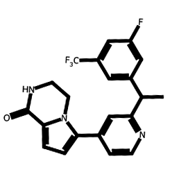 CC(c1cc(F)cc(C(F)(F)F)c1)c1cc(-c2ccc3n2CCNC3=O)ccn1